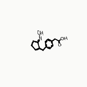 O=C(O)Cc1ccc(CC2CCCC2=NO)cc1